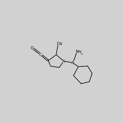 N#CC1C(=C=O)CCN1N(N)C1CCCCC1